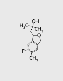 Cc1cc2c(cc1F)C(CC(C)(C)O)OC2